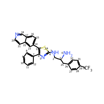 N[C@H](CNc1nc(-c2ccccc2)c(-c2ccc3cnccc3c2)s1)Cc1ccc(C(F)(F)F)cc1